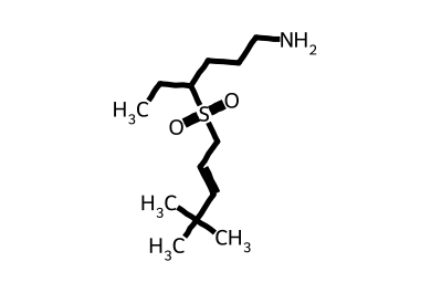 CCC(CCCN)S(=O)(=O)CC=CC(C)(C)C